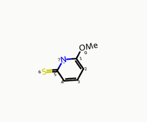 COC1=CC=CC(=S)[N]1